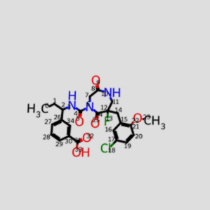 CCC(NC(=O)N1CC(=O)NCC(F)(Cc2cc(Cl)ccc2OC)C1=O)c1cccc(C(=O)O)c1